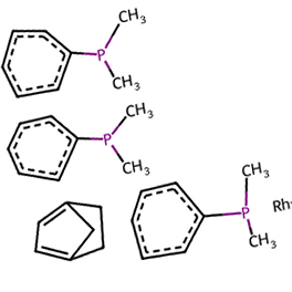 C1=C2CCC(=C1)C2.CP(C)c1ccccc1.CP(C)c1ccccc1.CP(C)c1ccccc1.[Rh]